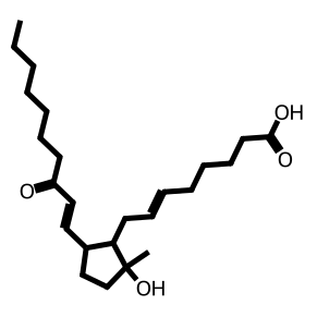 CCCCCCCC(=O)C=CC1CCC(C)(O)C1CC=CCCCCC(=O)O